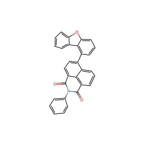 O=C1c2cccc3c(-c4cccc5oc6ccccc6c45)ccc(c23)C(=O)N1c1ccccc1